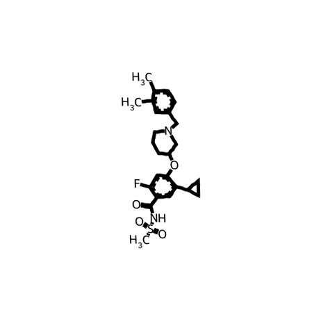 Cc1ccc(CN2CCCC(Oc3cc(F)c(C(=O)NS(C)(=O)=O)cc3C3CC3)C2)cc1C